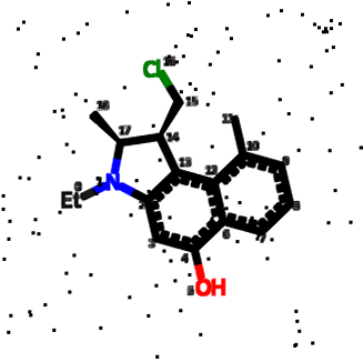 CCN1c2cc(O)c3cccc(C)c3c2[C@H](CCl)[C@@H]1C